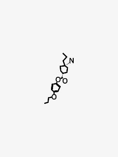 CCCOc1ccc(OC(=O)[C@H]2CC[C@](C#N)(CCC)CC2)cc1